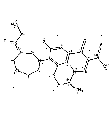 C[C@H]1COc2c(N3CCOCC(=C(F)CN)C3)c(F)cc3c(=O)c(C(=O)O)cn1c23